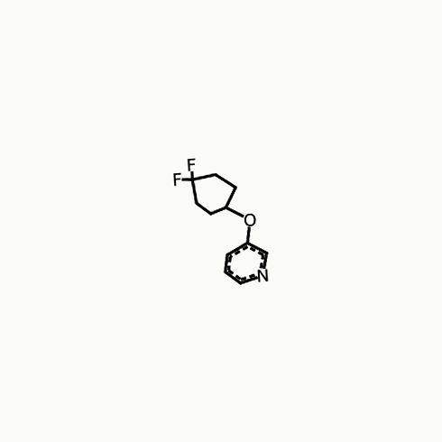 FC1(F)CCC(Oc2cccnc2)CC1